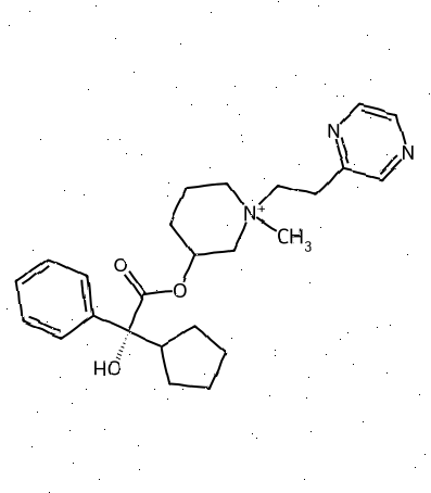 C[N+]1(CCc2cnccn2)CCCC(OC(=O)[C@](O)(c2ccccc2)C2CCCC2)C1